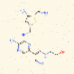 N=C/C(=C\NCCO)c1cnc(N)c(NCc2cc(N)c(C=N)s2)n1